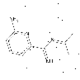 CC(C)=NC(=N)c1cccc(N)n1